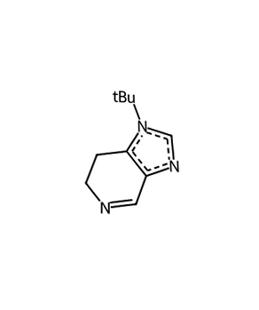 CC(C)(C)n1cnc2c1CCN=C2